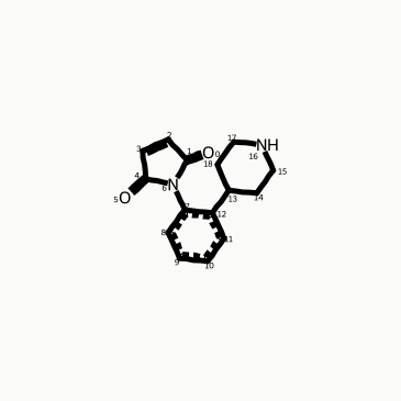 O=C1C=CC(=O)N1c1ccccc1C1CCNCC1